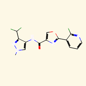 Cn1cc(NC(=O)c2coc(-c3cccnc3Cl)n2)c(C(F)F)n1